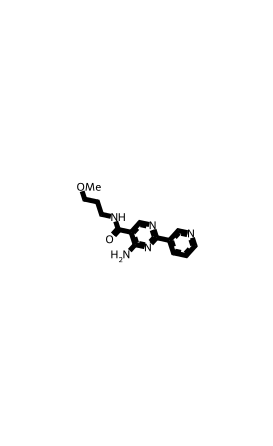 COCCCNC(=O)c1cnc(-c2cccnc2)nc1N